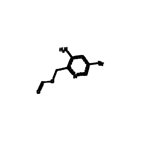 Nc1cc(Br)cnc1COC=O